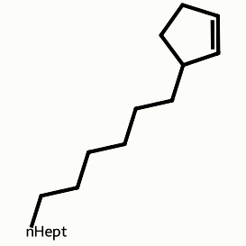 CCCCCCCCCCCCC[C]1C=CCC1